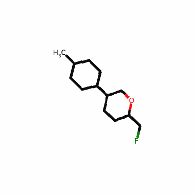 CC1CCC(C2CCC(CF)OC2)CC1